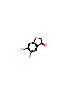 O=C1CCc2cc(Cl)c(F)cc21